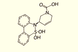 O=C(O)N1CC=C[C@@H](N2c3ccccc3-c3ccccc3S2(O)O)C1